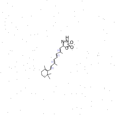 CC1=C(/C=C/C(C)=C/C=C/C(C)=C/C2=NNS(=O)(=O)O2)C(C)(C)CCC1